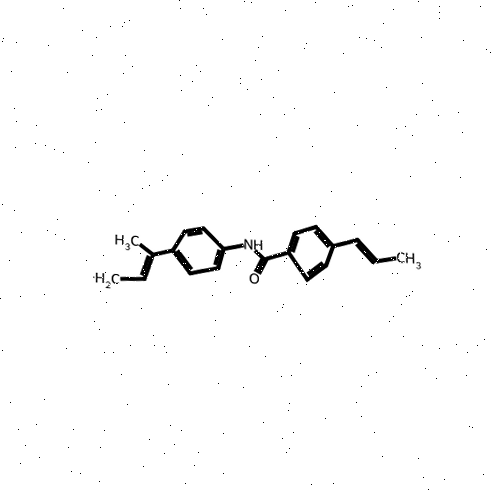 [CH2]C=C(C)c1ccc(NC(=O)c2ccc(/C=C/C)cc2)cc1